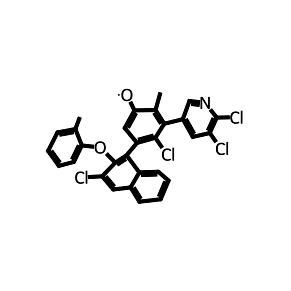 Cc1ccccc1Oc1c(Cl)cc2ccccc2c1-c1cc([O])c(C)c(-c2cnc(Cl)c(Cl)c2)c1Cl